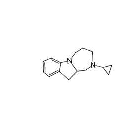 c1ccc2c(c1)CC1CN(C3CC3)CCCN21